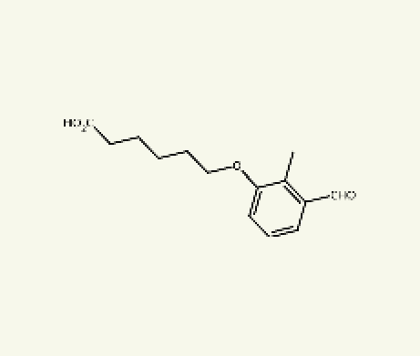 Cc1c(C=O)cccc1OCCCCCC(=O)O